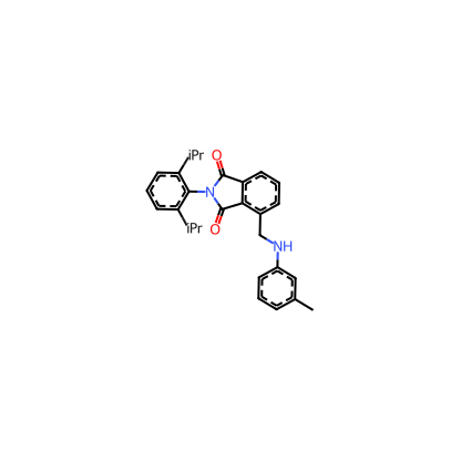 Cc1cccc(NCc2cccc3c2C(=O)N(c2c(C(C)C)cccc2C(C)C)C3=O)c1